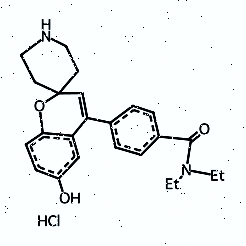 CCN(CC)C(=O)c1ccc(C2=CC3(CCNCC3)Oc3ccc(O)cc32)cc1.Cl